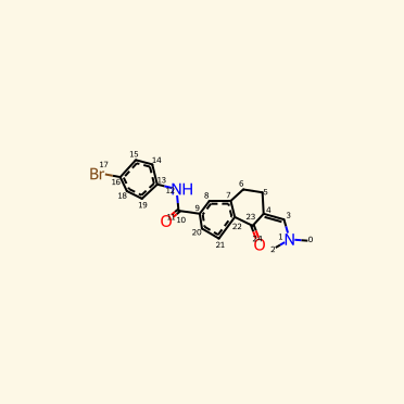 CN(C)C=C1CCc2cc(C(=O)Nc3ccc(Br)cc3)ccc2C1=O